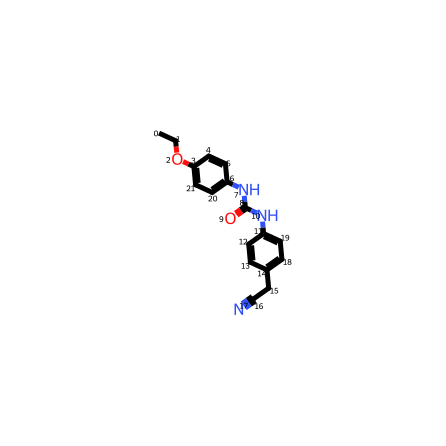 CCOc1ccc(NC(=O)Nc2ccc(CC#N)cc2)cc1